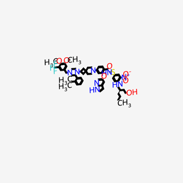 CCCC[C@H](CCO)CNc1ccc(SNC(=O)c2ccc(N3CCC4(CC3)CC(N3CCN(Cc5cc(OC)c(OC)c(C(F)(F)F)c5)CC3c3ccccc3C(C)C)C4)cc2Oc2cnc3[nH]ccc3c2)cc1[N+](=O)[O-]